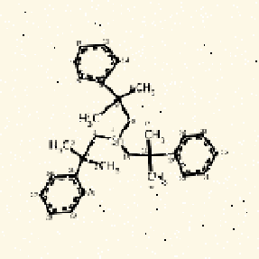 CC(C)([CH2][Sn]([CH2]C(C)(C)c1ccccc1)[CH2]C(C)(C)c1ccccc1)c1ccccc1